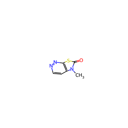 Cn1c(=O)sc2nnccc21